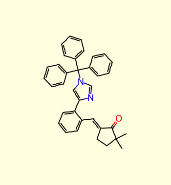 CC1(C)CC/C(=C\c2ccccc2-c2cn(C(c3ccccc3)(c3ccccc3)c3ccccc3)cn2)C1=O